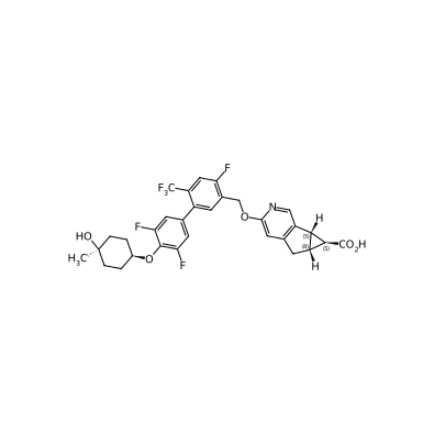 C[C@]1(O)CC[C@@H](Oc2c(F)cc(-c3cc(COc4cc5c(cn4)[C@H]4[C@@H](C5)[C@@H]4C(=O)O)c(F)cc3C(F)(F)F)cc2F)CC1